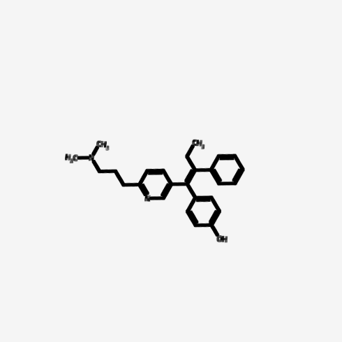 CCC(=C(c1ccc(O)cc1)c1ccc(CCCN(C)C)nc1)c1ccccc1